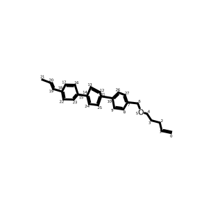 C=CCCCOCc1ccc(-c2ccc(-c3ccc(C=CC)cc3)cc2)cc1